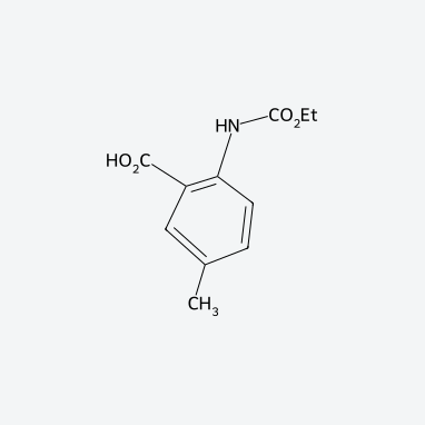 CCOC(=O)Nc1ccc(C)cc1C(=O)O